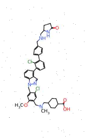 COc1cc(Cn2ncc3c(-c4cccc(-c5ccc(CNCC6CCC(=O)N6)cc5)c4Cl)cccc32)c(Cl)cc1CN(C)CC1CCC(C(=O)O)CC1